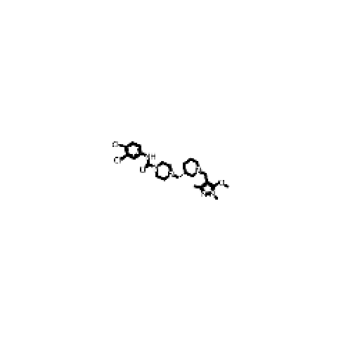 COc1c(CN2CCC[C@@H](CN3CCN(C(=O)Nc4ccc(Cl)c(Cl)c4)CC3)C2)c(C)nn1C